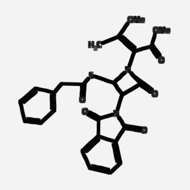 COC(=O)C(=C(C)OC)N1C(=O)C(N2C(=O)c3ccccc3C2=O)C1SC(=O)Cc1ccccc1